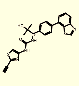 C#Cc1nc(NC(=O)N[C@H](c2ccc(-c3cccc4ncsc34)cc2)C(C)(C)O)cs1